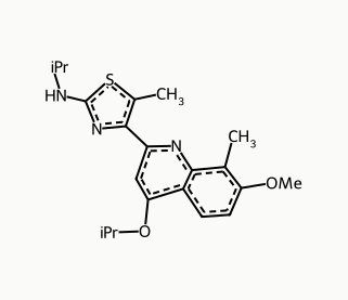 COc1ccc2c(OC(C)C)cc(-c3nc(NC(C)C)sc3C)nc2c1C